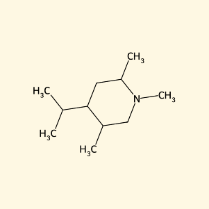 CC(C)C1CC(C)N(C)CC1C